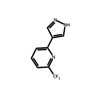 FC(F)(F)c1cccc(-c2cn[nH]c2)n1